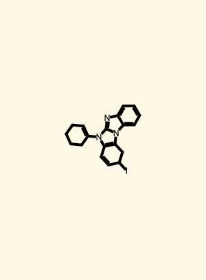 IC1C=Cc2c(n3c4ccccc4nc3n2C2=CCCCC2)C1